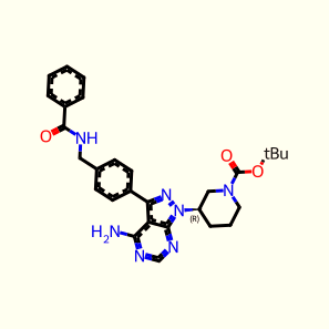 CC(C)(C)OC(=O)N1CCC[C@@H](n2nc(-c3ccc(CNC(=O)c4ccccc4)cc3)c3c(N)ncnc32)C1